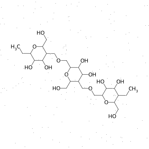 CCC1OC(CO)C(COCC2OC(CO)C(COCC3OC(CO)C(CC)C(O)C3O)C(O)C2O)C(O)C1O